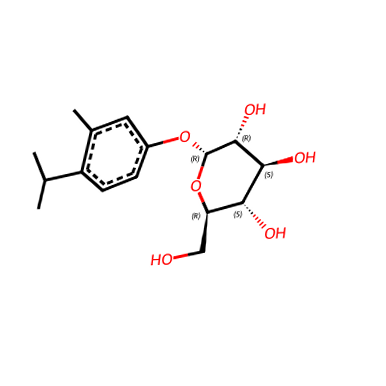 Cc1cc(O[C@H]2O[C@H](CO)[C@@H](O)[C@H](O)[C@H]2O)ccc1C(C)C